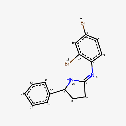 Brc1ccc(/N=C2/CCC(c3ccccc3)N2)c(Br)c1